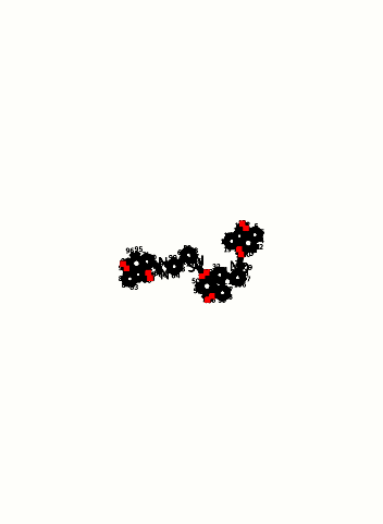 CC1(C)c2ccccc2C2(c3ccccc3-c3ccccc32)c2ccc(-c3nc4c(-c5cccc6c5-c5ccccc5C65c6ccccc6C(C)(C)c6cc(-c7nc8cccc(-c9ccc%10ncc(-c%11ccc%12c(c%11)C%11(c%13ccccc%13-c%13ccccc%13%11)c%11ccccc%11C%12(C)C)nc%10c9)c8s7)ccc65)cccc4o3)cc21